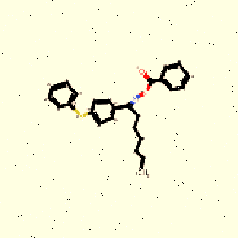 CCCCCC/C(=N\OC(=O)c1ccccc1)c1ccc(Sc2ccccc2)cc1